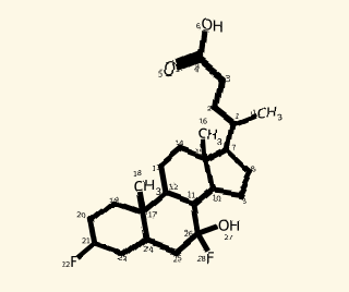 CC(CCC(=O)O)C1CCC2C3C(CCC12C)C1(C)CCC(F)CC1CC3(O)F